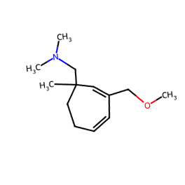 COCC1=CC(C)(CN(C)C)CCC=C1